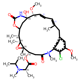 COc1cc2cc(c1Cl)N(C)C(=O)C[C@H](OC(=O)[C@H](C)N(C)C(C)C)[C@]1(C)O[C@@]1(C)[C@H](C)C1C[C@@](O)(NC(=O)O1)[C@H](OC)/C=C/C=C(\C)C2